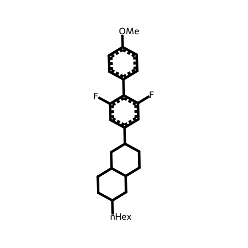 CCCCCCC1CCC2CC(c3cc(F)c(-c4ccc(OC)cc4)c(F)c3)CCC2C1